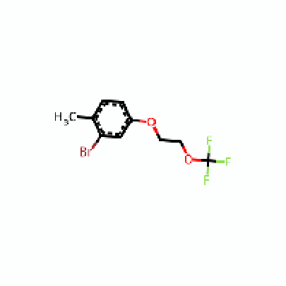 Cc1ccc(OCCOC(F)(F)F)cc1Br